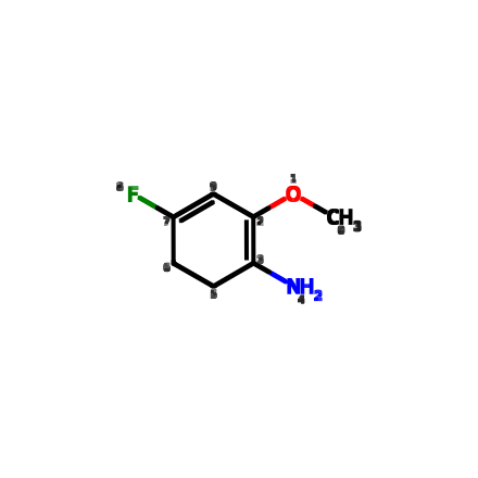 COC1=C(N)CCC(F)=C1